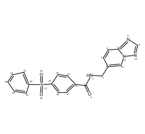 O=C(NCc1ccc2ncnn2c1)c1ccc(S(=O)(=O)c2ccccc2)cc1